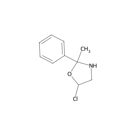 CC1(c2ccccc2)NCC(Cl)O1